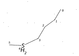 CCCC[SH2]C